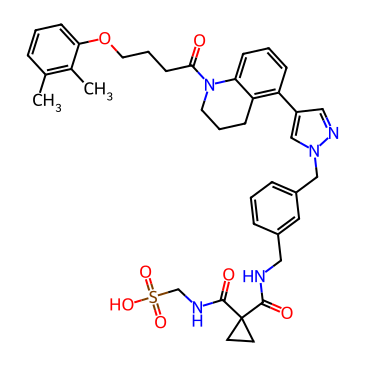 Cc1cccc(OCCCC(=O)N2CCCc3c(-c4cnn(Cc5cccc(CNC(=O)C6(C(=O)NCS(=O)(=O)O)CC6)c5)c4)cccc32)c1C